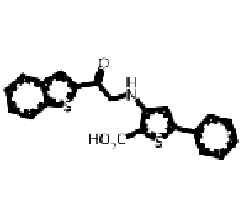 O=C(CNc1cc(-c2ccccc2)sc1C(=O)O)c1cc2ccccc2s1